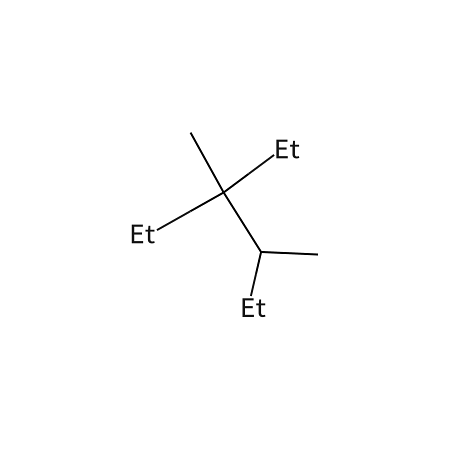 [CH2]CC(C)C(C)(CC)CC